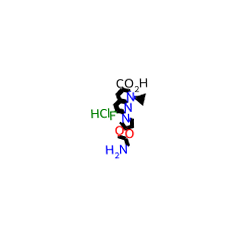 Cl.NCC1COC2(CCN(c3nc4c(cc3F)C=C(C(=O)O)CN4C3CC3)C2)O1